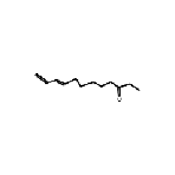 C=C/C=C/CCCCCC(=O)CC